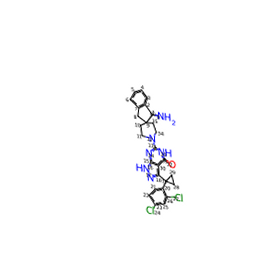 N[C@@H]1c2ccccc2CC12CCN(c1nc3[nH]nc(C4(c5ccc(Cl)cc5Cl)CC4)c3c(=O)[nH]1)CC2